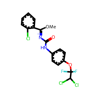 CO/C(=N\C(=O)Nc1ccc(OC(F)(F)C(Cl)Cl)cc1)c1ccccc1Cl